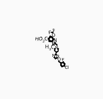 Cn1c(CN2CCC(c3nccc(OCc4ccc(Cl)cc4F)n3)CC2)nc2c(OC(F)F)cc(C(=O)O)cc21